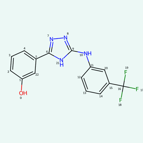 Oc1cccc(-c2nnc(Nc3cccc(C(F)(F)F)c3)[nH]2)c1